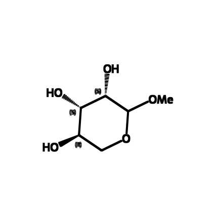 COC1OC[C@@H](O)[C@H](O)[C@@H]1O